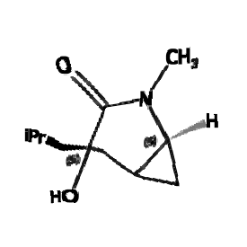 CC(C)[C@@]1(O)C(=O)N(C)[C@H]2CC21